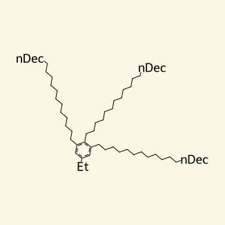 CCCCCCCCCCCCCCCCCCCCCCc1cc(CC)cc(CCCCCCCCCCCCCCCCCCCCCC)c1CCCCCCCCCCCCCCCCCCCCCC